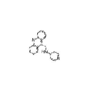 c1ccc2c(CNc3ccncc3)c3ccccc3nc2c1